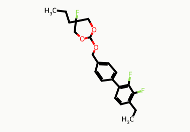 CCCC1(F)COC(OCc2ccc(-c3ccc(CC)c(F)c3F)cc2)OC1